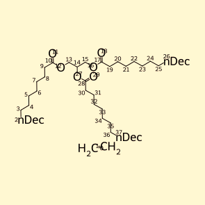 C=C.CCCCCCCCCCCCCCCCCC(=O)OCC(COC(=O)CCCCCCCCCCCCCCCCC)OC(=O)CCCCCCCCCCCCCCCCC